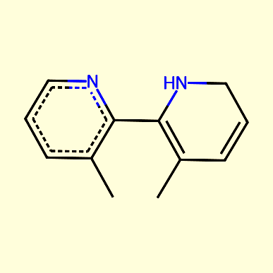 CC1=C(c2ncccc2C)NCC=C1